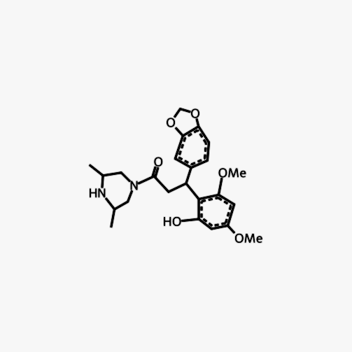 COc1cc(O)c(C(CC(=O)N2CC(C)NC(C)C2)c2ccc3c(c2)OCO3)c(OC)c1